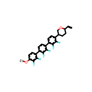 C=CC1CCC(c2ccc(-c3ccc(-c4ccc(OCC)c(F)c4F)c(F)c3F)c(F)c2F)CO1